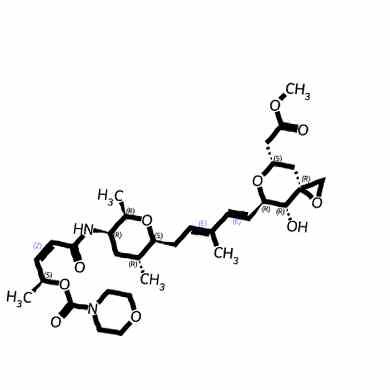 COC(=O)C[C@@H]1C[C@@]2(CO2)[C@H](O)[C@@H](/C=C/C(C)=C/C[C@@H]2O[C@H](C)[C@H](NC(=O)/C=C\[C@H](C)OC(=O)N3CCOCC3)C[C@H]2C)O1